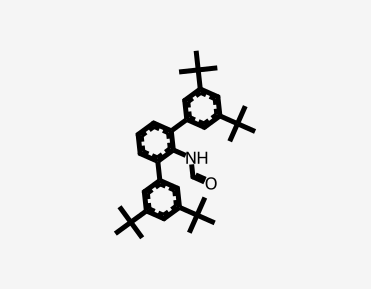 CC(C)(C)c1cc(-c2cccc(-c3cc(C(C)(C)C)cc(C(C)(C)C)c3)c2NC=O)cc(C(C)(C)C)c1